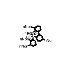 CCCCCCCCCc1ccc(P(O)(O)(O)c2cccc(CCCCCCCCC)c2CCCCCCCCC)c(-c2cccc(CCCCCCCCC)c2CCCCCCCCC)c1